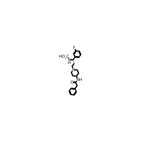 O=C(O)N[C@@H](CCN1CCC(NC(=O)Cc2ccccc2)CC1)c1cccc(F)c1